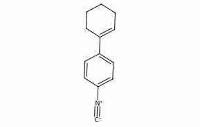 [C-]#[N+]c1ccc(C2=CCCCC2)cc1